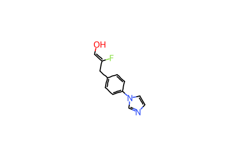 O/C=C(\F)Cc1ccc(-n2ccnc2)cc1